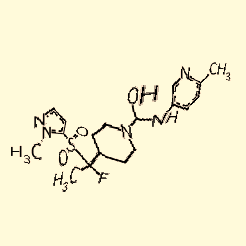 Cc1ccc(NC(O)N2CCC(C(C)(F)S(=O)(=O)c3ccnn3C)CC2)cn1